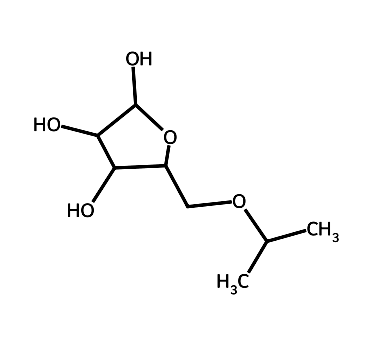 CC(C)OCC1OC(O)C(O)C1O